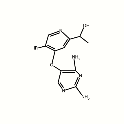 CC(C)c1cnc(C(C)O)cc1Oc1cnc(N)nc1N